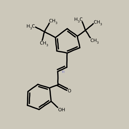 CC(C)(C)c1cc(/C=C/C(=O)c2ccccc2O)cc(C(C)(C)C)c1